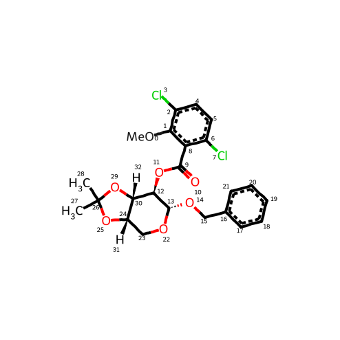 COc1c(Cl)ccc(Cl)c1C(=O)O[C@H]1[C@H](OCc2ccccc2)OC[C@@H]2OC(C)(C)O[C@H]12